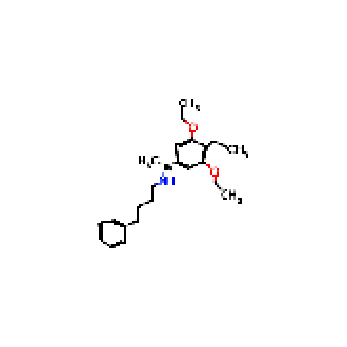 CCOc1cc([C@@H](C)NCCCCc2ccccc2)cc(OCC)c1CC